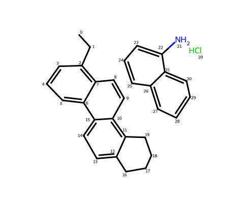 CCc1cccc2c1ccc1c3c(ccc12)CCCC3.Cl.Nc1cccc2ccccc12